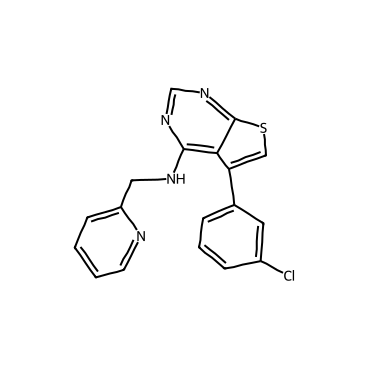 Clc1cccc(-c2csc3ncnc(NCc4ccccn4)c23)c1